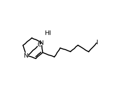 I.ICCCCCC1=CN2CCN1CC2